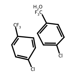 FC(F)(F)c1ccc(Cl)cc1.FC(F)(F)c1ccc(Cl)cc1.O